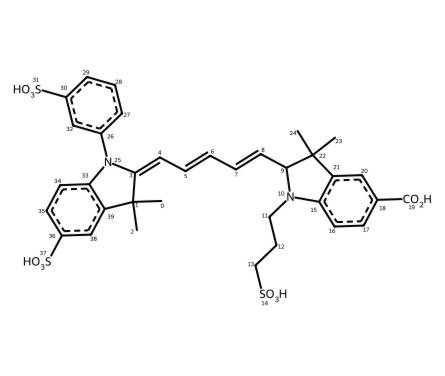 CC1(C)\C(=C/C=C/C=C/C2N(CCCS(=O)(=O)O)c3ccc(C(=O)O)cc3C2(C)C)N(c2cccc(S(=O)(=O)O)c2)c2ccc(S(=O)(=O)O)cc21